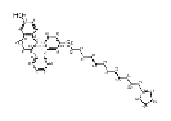 Oc1ccc2c(c1)OC[C@@H](c1ccccc1)[C@H]2c1ccc(SCCCCCCCCCCCCN2CCCC2)cc1